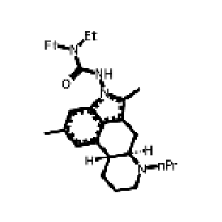 CCCN1CCC[C@@H]2c3cc(C)cc4c3c(c(C)n4NC(=O)N(CC)CC)C[C@H]21